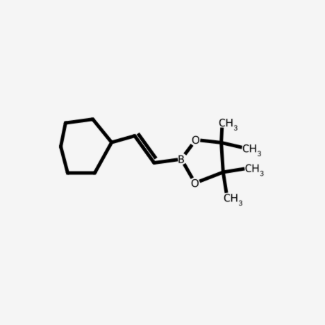 CC1(C)OB(/C=C/C2CCCCC2)OC1(C)C